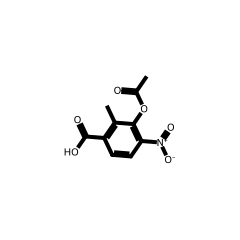 CC(=O)Oc1c([N+](=O)[O-])ccc(C(=O)O)c1C